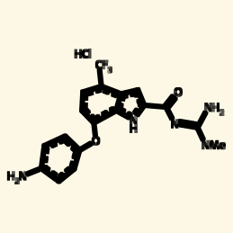 CNC(N)=NC(=O)c1cc2c(C(F)(F)F)ccc(Oc3ccc(N)cc3)c2[nH]1.Cl